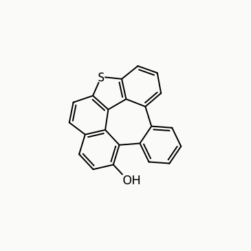 Oc1ccc2ccc3sc4cccc5c4c3c2c1-c1ccccc1-5